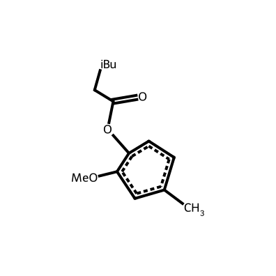 CCC(C)CC(=O)Oc1ccc(C)cc1OC